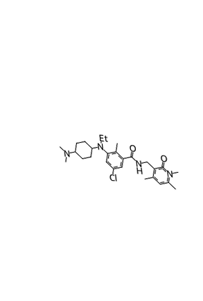 CCN(c1cc(Cl)cc(C(=O)NCc2c(C)cc(C)n(C)c2=O)c1C)C1CCC(N(C)C)CC1